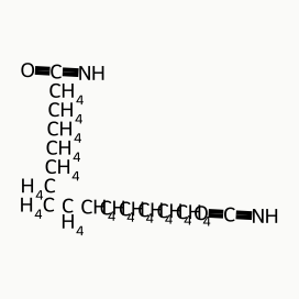 C.C.C.C.C.C.C.C.C.C.C.C.C.C.N=C=O.N=C=O